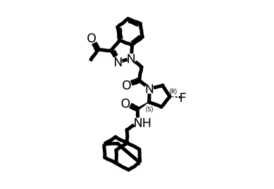 CC(=O)c1nn(CC(=O)N2C[C@H](F)C[C@H]2C(=O)NCC23CC4CC(CC(C4)C2)C3)c2ccccc12